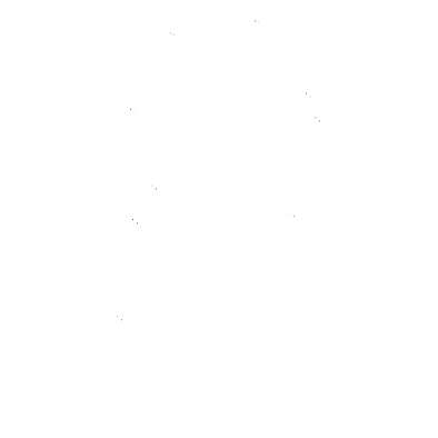 N#CC(C#N)=C1c2cc(OC(F)(F)F)ccc2-c2ccc(C3=C(C#N)c4c(C#N)c(C#N)c(C#N)c(C#N)c4C3=C(C#N)C#N)cc21